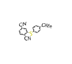 COc1ccc(Sc2cc(C#N)ccc2C#N)cc1